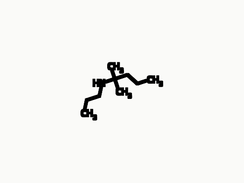 CCCNC(C)(C)CCC